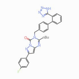 CCCCc1nc2cc(-c3ccc(F)cc3)nn2c(=O)n1Cc1ccc(-c2ccccc2-c2nnn[nH]2)cc1